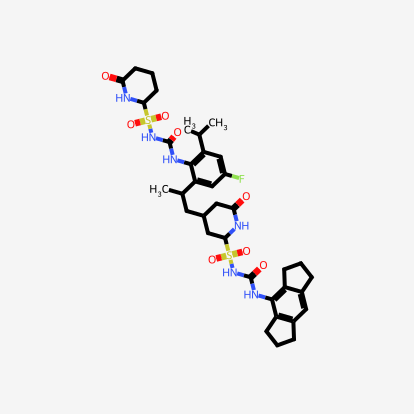 CC(C)c1cc(F)cc(C(C)CC2CC(=O)NC(S(=O)(=O)NC(=O)Nc3c4c(cc5c3CCC5)CCC4)C2)c1NC(=O)NS(=O)(=O)C1CCCC(=O)N1